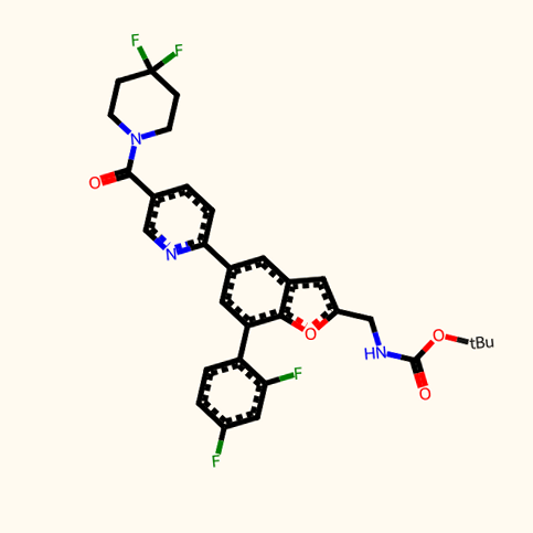 CC(C)(C)OC(=O)NCc1cc2cc(-c3ccc(C(=O)N4CCC(F)(F)CC4)cn3)cc(-c3ccc(F)cc3F)c2o1